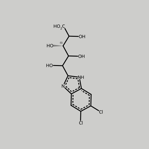 O=C(O)C(O)[C@@H](O)C(O)C(O)c1nc2cc(Cl)c(Cl)cc2[nH]1